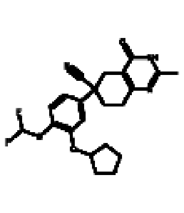 Cc1nc2c(c(=O)[nH]1)CC(C#N)(c1ccc(OC(F)F)c(OC3CCCC3)c1)CC2